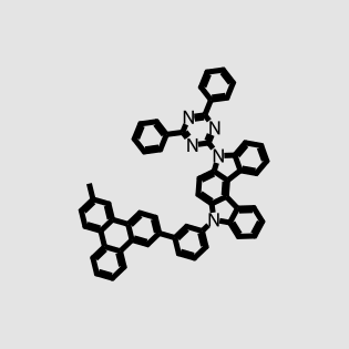 Cc1ccc2c3ccccc3c3cc(-c4cccc(-n5c6ccccc6c6c7c8ccccc8n(-c8nc(-c9ccccc9)nc(-c9ccccc9)n8)c7ccc65)c4)ccc3c2c1